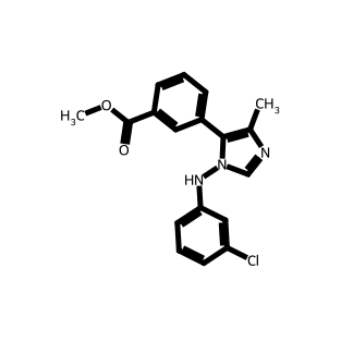 COC(=O)c1cccc(-c2c(C)ncn2Nc2cccc(Cl)c2)c1